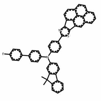 CC1(C)c2ccccc2-c2ccc(N(c3ccc(-c4ccc(F)cc4)cc3)c3ccc(-c4nc5c(s4)-c4cc6cccc7ccc8ccc-5c4c8c76)cc3)cc21